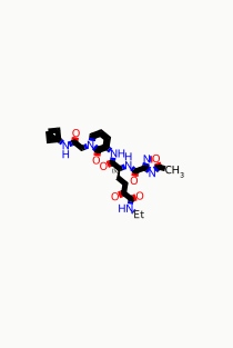 CCNC(=O)C(=O)CC[C@H](NC(=O)c1noc(C)n1)C(=O)Nc1cccn(CC(=O)NC23CC(C2)C3)c1=O